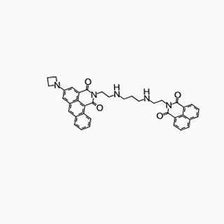 O=C1c2cccc3cccc(c23)C(=O)N1CCNCCCNCCN1C(=O)c2cc(N3CCC3)cc3cc4ccccc4c(c23)C1=O